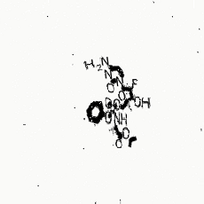 CC(C)OC(=O)[C@H](C)NP(=O)(OC[C@@]1(C)O[C@@H](n2ccc(N)nc2=O)[C@H](F)[C@@H]1O)Oc1ccccc1